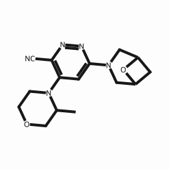 CC1COCCN1c1cc(N2CC3CC(C2)O3)nnc1C#N